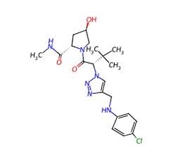 CNC(=O)[C@@H]1C[C@@H](O)CN1C(=O)[C@@H](n1cc(CNc2ccc(Cl)cc2)nn1)C(C)(C)C